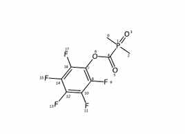 CP(C)(=O)C(=O)Oc1c(F)c(F)c(F)c(F)c1F